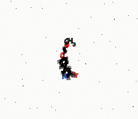 COCCOc1ccc(-c2cncc(Br)c2)cc1